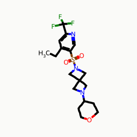 CCc1cc(C(F)(F)F)ncc1S(=O)(=O)N1CC2(CN(C3CCOCC3)C2)C1